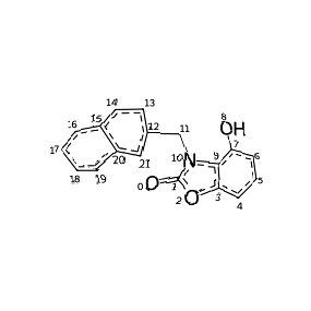 O=c1oc2cccc(O)c2n1Cc1ccc2ccccc2c1